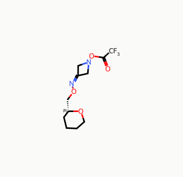 O=C(ON1CC(=NOC[C@H]2CCCCO2)C1)C(F)(F)F